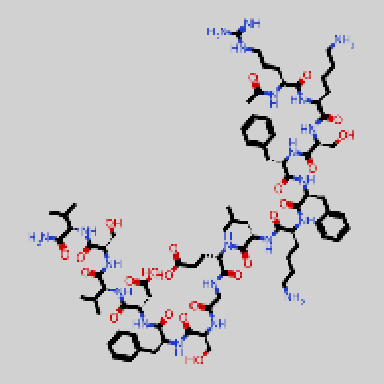 CC(=O)N[C@@H](CCCNC(=N)N)C(=O)N[C@@H](CCCCN)C(=O)N[C@@H](CO)C(=O)N[C@@H](Cc1ccccc1)C(=O)N[C@@H](Cc1ccccc1)C(=O)N[C@@H](CCCCN)C(=O)N[C@@H](CC(C)C)C(=O)N[C@@H](CCC(=O)O)C(=O)NCC(=O)N[C@@H](CO)C(=O)N[C@@H](Cc1ccccc1)C(=O)N[C@@H](CC(=O)O)C(=O)N[C@H](C(=O)N[C@@H](CO)C(=O)N[C@H](C(N)=O)C(C)C)C(C)C